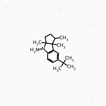 CC1CCC2(C)N(N)c3ccc(C(C)(C)C)cc3C12C